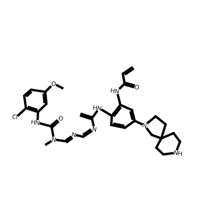 C=CC(=O)Nc1cc(N2CCC3(CCNCC3)C2)ccc1NC(=C)/N=C\N=C\N(C)C(=O)Nc1cc(OC)ccc1Cl